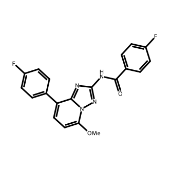 COc1ccc(-c2ccc(F)cc2)c2nc(NC(=O)c3ccc(F)cc3)nn12